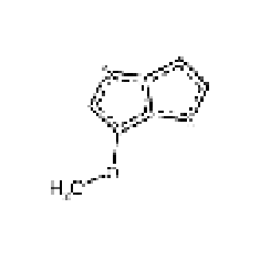 COc1csc2ccsc12